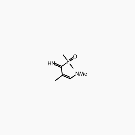 CN/C=C(/C)C(=N)P(C)(C)=O